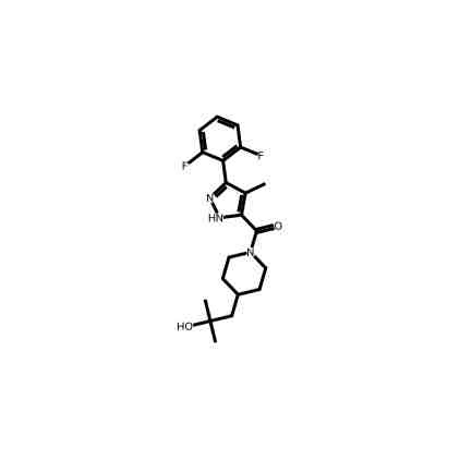 Cc1c(-c2c(F)cccc2F)n[nH]c1C(=O)N1CCC(CC(C)(C)O)CC1